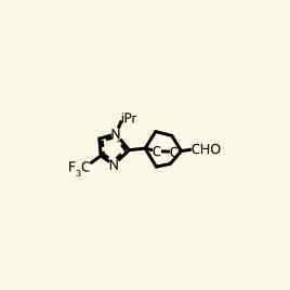 CC(C)n1cc(C(F)(F)F)nc1C12CCC(C=O)(CC1)CC2